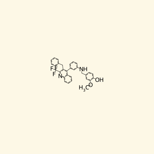 COc1cc(CNc2cccc(-c3c(Cc4ccccc4)c(C(F)(F)F)nc4ccccc34)c2)ccc1O